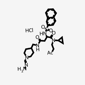 CC(=O)CCN(C(=O)C(CC(=O)NCC1CCN(C=NN)CC1)NS(=O)(=O)c1ccc2ccccc2c1)C1CC1.Cl